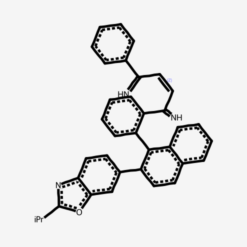 CC(C)c1nc2ccc(-c3ccc4ccccc4c3-c3ccccc3C(=N)/C=C\C(=N)c3ccccc3)cc2o1